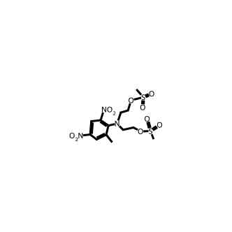 Cc1cc([N+](=O)[O-])cc([N+](=O)[O-])c1N(CCOS(C)(=O)=O)CCOS(C)(=O)=O